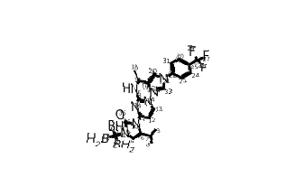 BC(B)(B)N1CC(C(C)C)N(c2ccnc(N[C@@H](C)c3cn(-c4ccc(C(F)(F)F)cc4)cn3)n2)C1=O